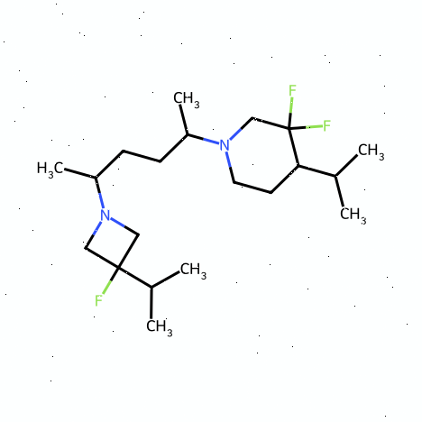 CC(C)C1CCN(C(C)CCC(C)N2CC(F)(C(C)C)C2)CC1(F)F